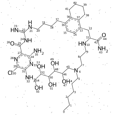 CCCCCCN(CCCNC(Cc1ccc(CCCCNC(=N)NC(=O)c2nc(Cl)c(N)nc2N)c2c1CCCC2)C(N)=O)CC(O)C(O)C(O)C(O)CO